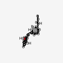 COCCOCCC(=O)NCCCC[C@H](NC(=O)CBr)C(=O)N[C@@H](C)C(=O)N[C@@H](C)C(=O)Nc1ccc(Cc2ccc([C@@H]3O[C@@H]4C[C@H]5[C@@H]6CCC7=CC(=O)C=C[C@]7(C)[C@@]6(F)[C@@H](O)C[C@]5(C)[C@]4(C(=O)CO)O3)cc2)cc1CO